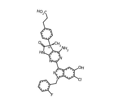 C[C@]1(c2ccc(CCC(=O)O)cc2)C(=O)Nc2nc(-c3nn(Cc4ccccc4F)c4cc(Cl)c(O)cc34)nc(N)c21